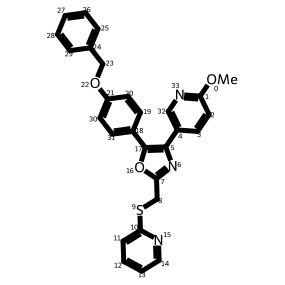 COc1ccc(-c2nc(CSc3ccccn3)oc2-c2ccc(OCc3ccccc3)cc2)cn1